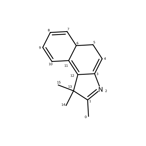 CC1=NC2=CCC3C=CC=CC3=C2C1(C)C